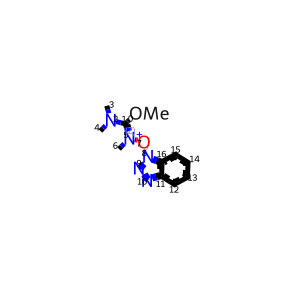 CO/C(N(C)C)=[N+](/C)On1nnc2ccccc21